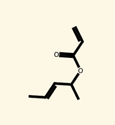 C=CC(=O)OC(C)C=CC